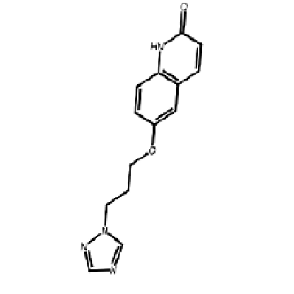 O=c1ccc2cc(OCCCn3cncn3)ccc2[nH]1